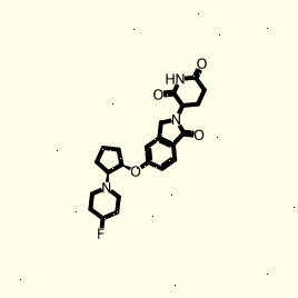 O=C1CCC(N2Cc3cc(O[C@@H]4CCC[C@@H]4N4CCC(F)CC4)ccc3C2=O)C(=O)N1